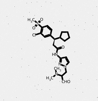 CN(C)C(C=O)Cn1ccc(NC(=O)C[C@@H](c2ccc(S(C)(=O)=O)c(Cl)c2)C2CCCC2)n1